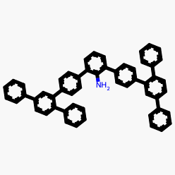 Nc1c(-c2ccc(-c3cc(-c4ccccc4)ccc3-c3ccccc3)cc2)cccc1-c1ccc(-c2cc(-c3ccccc3)ccc2-c2ccccc2)cc1